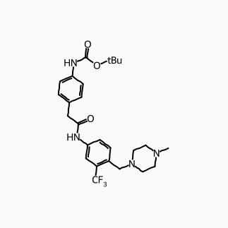 CN1CCN(Cc2ccc(NC(=O)Cc3ccc(NC(=O)OC(C)(C)C)cc3)cc2C(F)(F)F)CC1